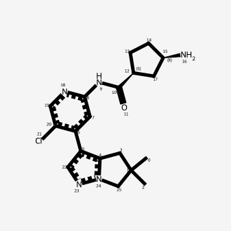 CC1(C)Cc2c(-c3cc(NC(=O)[C@H]4CC[C@@H](N)C4)ncc3Cl)cnn2C1